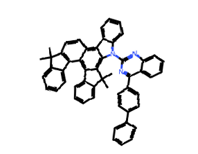 CC1(C)c2ccccc2-c2c1ccc1c2c2c(c3c1c1ccccc1n3-c1nc(-c3ccc(-c4ccccc4)cc3)c3ccccc3n1)C(C)(C)c1ccccc1-2